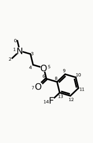 CN(C)CCOC(=O)c1ccccc1F